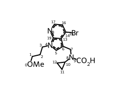 COCCCn1cc(CN(C(=O)O)C2CC2)c2c(Br)ccnc21